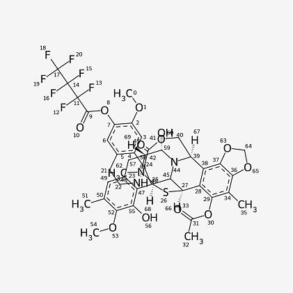 COc1cc2c(cc1OC(=O)C(F)(F)C(F)(F)C(F)(F)F)CCN[C@]21CS[C@@H]2c3c(OC(C)=O)c(C)c4c(c3[C@H](COC1=O)N1C2[C@H]2c3c(cc(C)c(OC)c3O)C[C@H]([C@@H]1O)N2C)OCO4